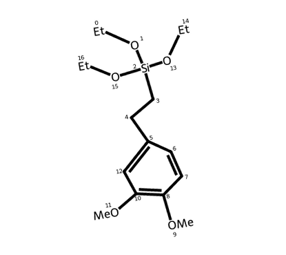 CCO[Si](CCc1ccc(OC)c(OC)c1)(OCC)OCC